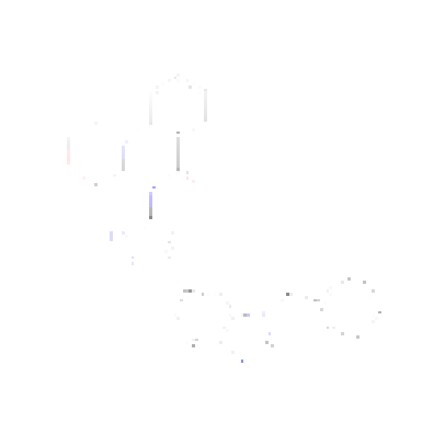 O=C(Nc1cc(-c2ccc3ncn(Cc4ccccc4)c3c2)n[nH]1)c1ccccc1N1CCOCC1